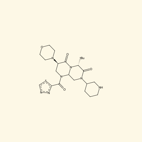 CC(C)(C)[C@@H]1C(=O)N(C2CCCNC2)CC2N(C(=O)c3nncs3)C[C@@H](N3CCOCC3)C(=O)N21